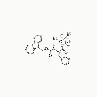 CCOP(=O)(OCC)C(F)(F)OC(=O)[C@H](Cc1ccccc1)NC(=O)OCC1c2ccccc2-c2ccccc21